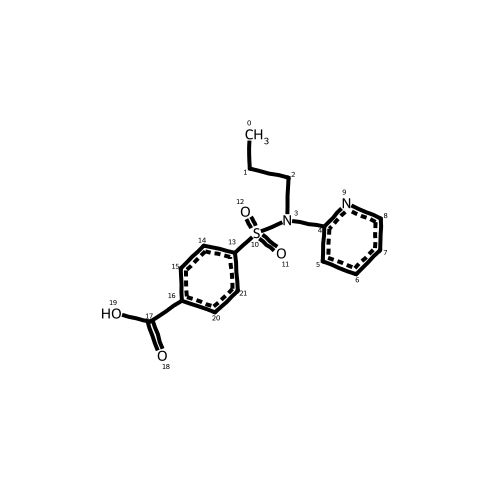 CCCN(c1ccccn1)S(=O)(=O)c1ccc(C(=O)O)cc1